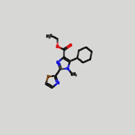 CCOC(=O)c1nc(-c2nccs2)n(C)c1C1CCCCC1